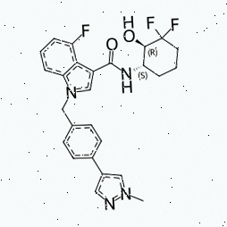 Cn1cc(-c2ccc(Cn3cc(C(=O)N[C@H]4CCCC(F)(F)[C@@H]4O)c4c(F)cccc43)cc2)cn1